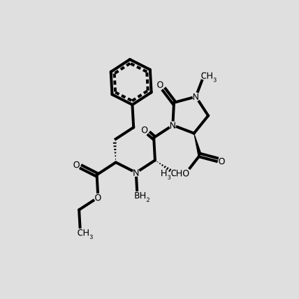 BN([C@@H](C)C(=O)N1C(=O)N(C)C[C@H]1C(=O)O)[C@@H](CCc1ccccc1)C(=O)OCC